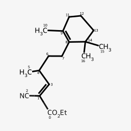 CCOC(=O)C(C#N)=CC(C)CCC1=C(C)CCCC1(C)C